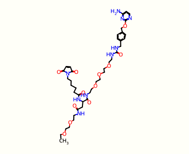 CCOCCOCCNC(=O)CC(NC(=O)CCCCCN1C(=O)C=CC1=O)C(=O)NCCOCCOCCOCCNC(=O)NCc1ccc(COc2nccc(N)n2)cc1